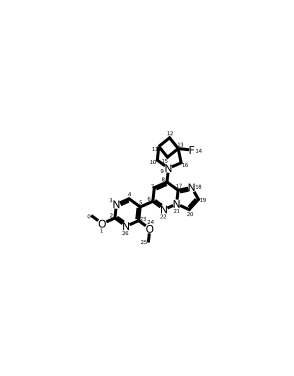 COc1ncc(-c2cc(N3CC4CC(F)(C4)C3)c3nccn3n2)c(OC)n1